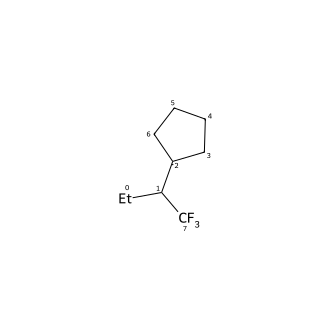 [CH2]CC([C]1CCCC1)C(F)(F)F